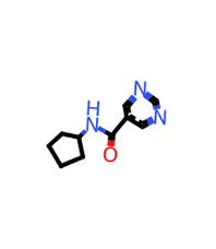 O=C(NC1CCCC1)c1cncnc1